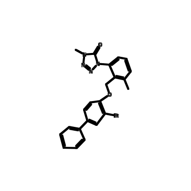 CCc1cc(-c2ccccc2)ccc1OCc1c(C)cccc1-n1nnn(C)c1=O